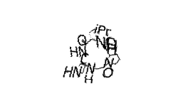 CC(C)C[C@@H]1NC(=O)[C@H]2CCCN2C(=O)CNC2(CNC2)CNC1=O